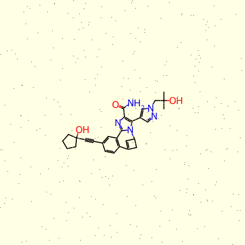 CC(C)(O)Cn1cc(-c2c(C(N)=O)nc3n2C2C=C(C2)c2ccc(C#CC4(O)CCCC4)cc2-3)cn1